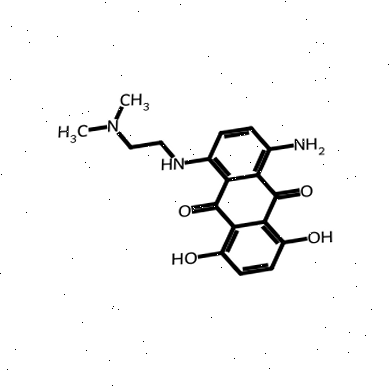 CN(C)CCNc1ccc(N)c2c1C(=O)c1c(O)ccc(O)c1C2=O